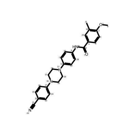 COc1ccc(C(=O)Nc2ccc(N3CCN(c4ccc(C#N)cc4)CC3)cc2)cc1C